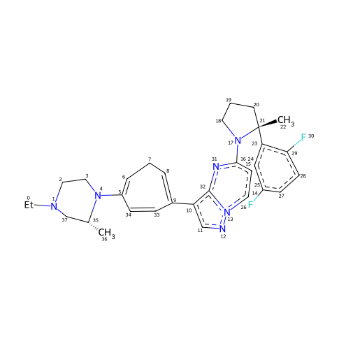 CCN1CCN(C2=CCC=C(c3cnn4ccc(N5CCC[C@]5(C)c5cc(F)ccc5F)nc34)C=C2)[C@H](C)C1